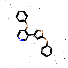 [c]1nccc(Sc2ccccc2)c1-c1csc(Sc2ccccc2)c1